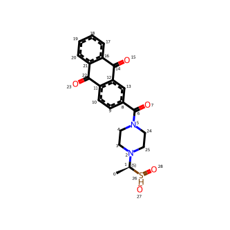 C[C@@H](N1CCN(C(=O)c2ccc3c(c2)C(=O)c2ccccc2C3=O)CC1)[SH](=O)=O